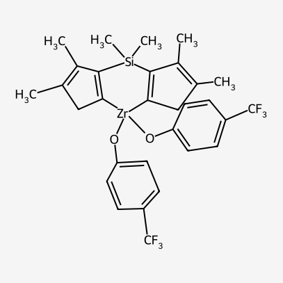 CC1=C(C)C2=[C](C1)[Zr]([O]c1ccc(C(F)(F)F)cc1)([O]c1ccc(C(F)(F)F)cc1)[C]1=C(C(C)=C(C)C1)[Si]2(C)C